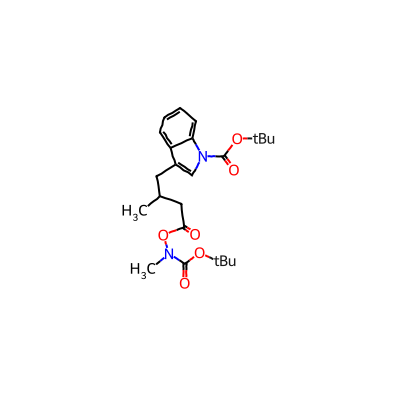 CC(CC(=O)ON(C)C(=O)OC(C)(C)C)Cc1cn(C(=O)OC(C)(C)C)c2ccccc12